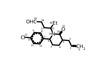 C=CCC1CCC(c2ccc(Cl)cc2)N(C(CC)CCC=O)C1=O